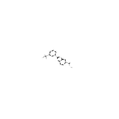 COC(=O)c1ccc2nc(-c3cccc(C(F)(F)F)c3)oc2c1